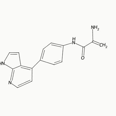 C=C(N)C(=O)Nc1ccc(-c2ccnc3[nH]ccc23)cc1